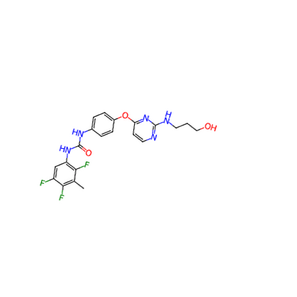 Cc1c(F)c(F)cc(NC(=O)Nc2ccc(Oc3ccnc(NCCCO)n3)cc2)c1F